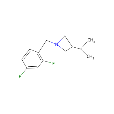 CC(C)C1CN(Cc2ccc(F)cc2F)C1